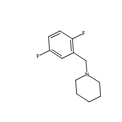 Fc1ccc(F)c(CN2CCCCC2)c1